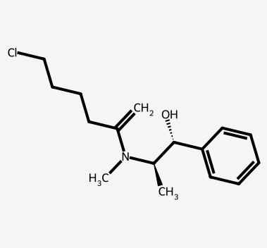 C=C(CCCCCl)N(C)[C@H](C)[C@H](O)c1ccccc1